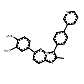 COc1ccc(-c2ccc3nc(C)c(-c4ccc(-c5cccnc5)cc4)n3n2)cc1OC